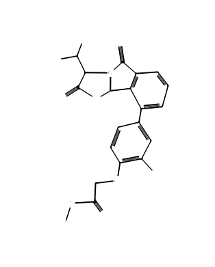 CNC(=O)COc1ccc(-c2cccc3c2C2OC(=O)C(C(C)C)N2C3=O)cc1I